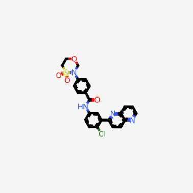 O=C(Nc1ccc(Cl)c(-c2ccc3ncccc3n2)c1)c1ccc(N2COCCS2(=O)=O)cc1